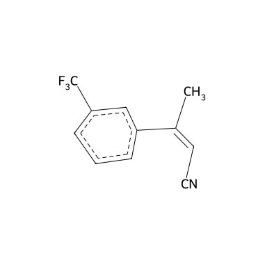 C/C(=C/C#N)c1cccc(C(F)(F)F)c1